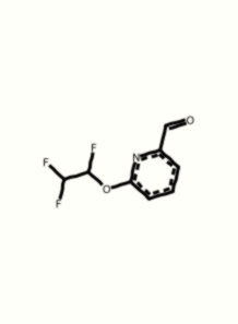 O=Cc1cccc(OC(F)C(F)F)n1